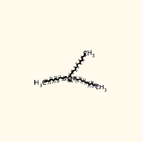 CCCCCCCCCCCCCC1N(CCCCCCCCCC)C=CN1CCCCCCCCCCCC